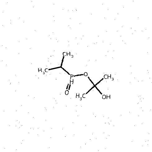 CC(C)[PH](=O)OC(C)(C)O